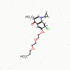 O=C(O)CCOCCOCCOc1cc2c(=O)c(C(=O)O)cn(C3CC3)c2cc1Cl